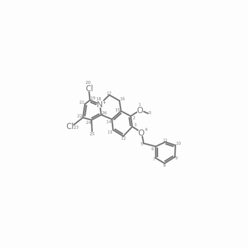 COc1c(OCc2ccccc2)ccc2c1CC[n+]1c(Cl)cc(Cl)c(C)c1-2